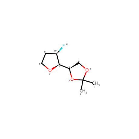 CC1(C)OC[C@H]([C@H]2OCC[C@H]2F)O1